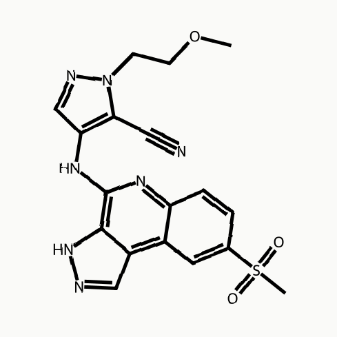 COCCn1ncc(Nc2nc3ccc(S(C)(=O)=O)cc3c3cn[nH]c23)c1C#N